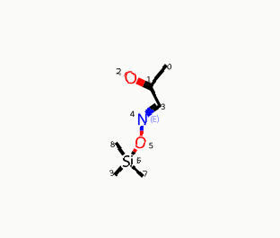 CC(=O)/C=N/O[Si](C)(C)C